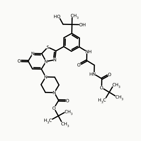 CC(C)(C)OC(=O)NCC(=O)Nc1cc(-c2nn3c(N4CCN(C(=O)OC(C)(C)C)CC4)cc(=O)nc3s2)cc(C(C)(O)CO)c1